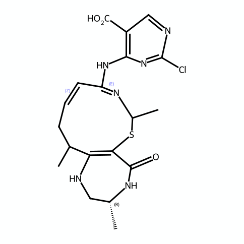 CC1/N=C(Nc2nc(Cl)ncc2C(=O)O)\C=C/CC(C)C2=C(S1)C(=O)N[C@H](C)CN2